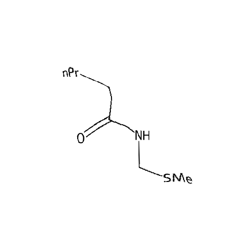 CCCCC(=O)NCSC